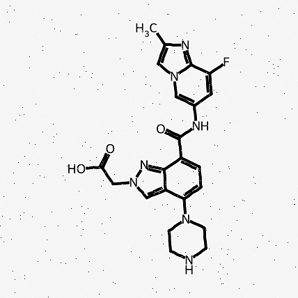 Cc1cn2cc(NC(=O)c3ccc(N4CCNCC4)c4cn(CC(=O)O)nc34)cc(F)c2n1